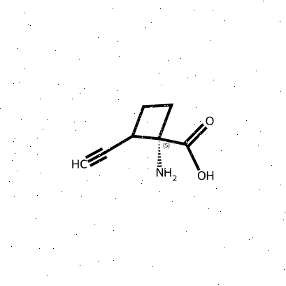 C#CC1CC[C@@]1(N)C(=O)O